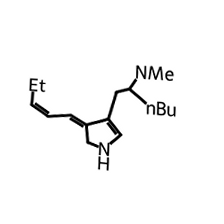 CC/C=C\C=C1/CNC=C1CC(CCCC)NC